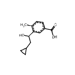 Cc1ccc(C(=O)O)cc1C(O)CC1CC1